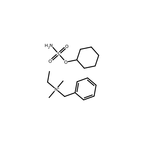 CC[N+](C)(C)Cc1ccccc1.NS(=O)(=O)OC1CCCCC1